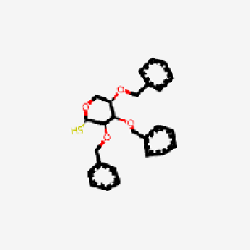 S[C@@H]1OC[C@@H](OCc2ccccc2)[C@@H](OCc2ccccc2)[C@H]1OCc1ccccc1